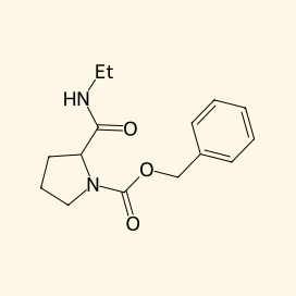 [CH2]CNC(=O)C1CCCN1C(=O)OCc1ccccc1